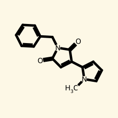 Cn1cccc1C1=CC(=O)N(Cc2ccccc2)C1=O